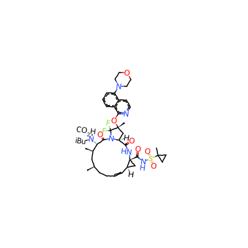 CCC(C)N(C(=O)O)[C@@H]1C(=O)N2[C@@H](C[C@@](C)(Oc3nccc4c(N5CCOCC5)cccc34)C2(F)F)C(=O)N[C@]2(C(=O)NS(=O)(=O)C3(C)CC3)C[C@H]2/C=C\CC[C@@H](C)C[C@H]1C